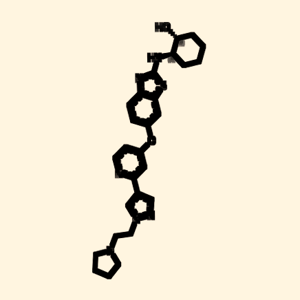 O[C@@H]1CCCC[C@H]1Nc1nc2ccc(Oc3ccnc(-c4cnn(CCN5CCCC5)c4)c3)cc2s1